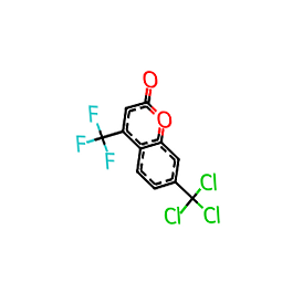 O=c1cc(C(F)(F)F)c2ccc(C(Cl)(Cl)Cl)cc2o1